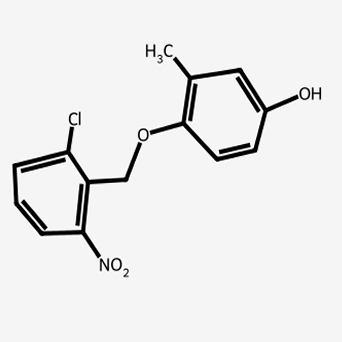 Cc1cc(O)ccc1OCc1c(Cl)cccc1[N+](=O)[O-]